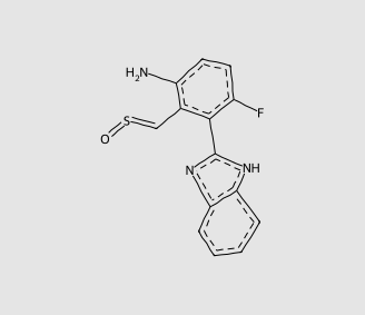 Nc1ccc(F)c(-c2nc3ccccc3[nH]2)c1C=S=O